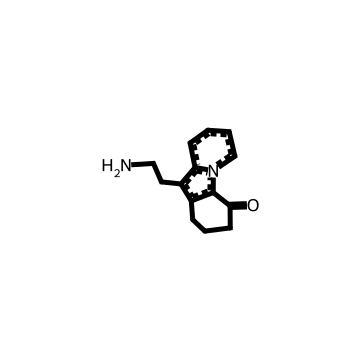 NCCc1c2c(n3ccccc13)C(=O)CCC2